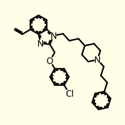 C=Cc1cccc2c1nc(COc1ccc(Cl)cc1)n2CCCC1CCN(CCCc2ccccc2)CC1